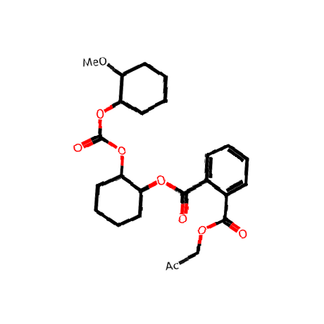 COC1CCCCC1OC(=O)OC1CCCCC1OC(=O)c1ccccc1C(=O)OCC(C)=O